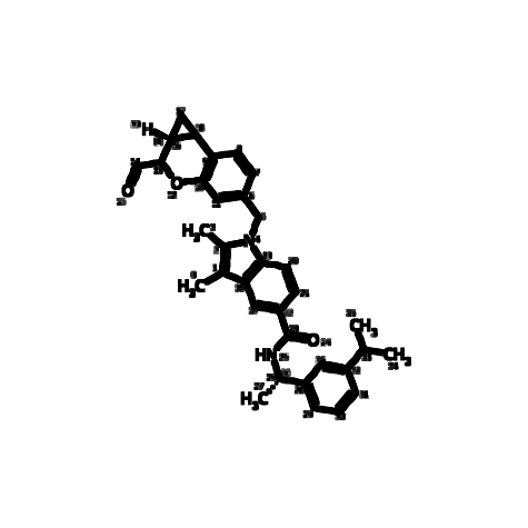 Cc1c(C)n(Cc2ccc3c(c2)OC(C=O)[C@@H]2CC32)c2ccc(C(=O)N[C@@H](C)c3cccc(C(C)C)c3)cc12